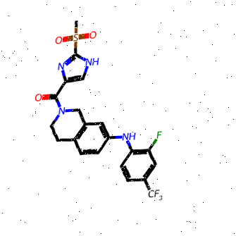 CS(=O)(=O)c1nc(C(=O)N2CCc3ccc(Nc4ccc(C(F)(F)F)cc4F)cc3C2)c[nH]1